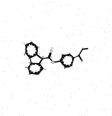 CCC(C)c1ccc(OC(=O)C2c3ccccc3-c3ccccc32)cc1